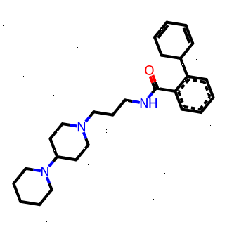 O=C(NCCCN1CCC(N2CCCCC2)CC1)c1ccccc1C1C=CC=CC1